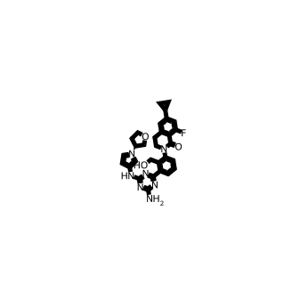 Nc1nc(Nc2ccn([C@@H]3CCOC3)c2)nc(-c2cccc(N3CCc4cc(C5CC5)cc(F)c4C3=O)c2CO)n1